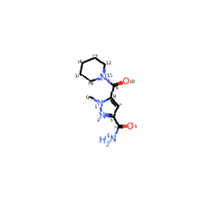 Cn1nc(C(N)=O)[c]c1C(=O)N1CCCCC1